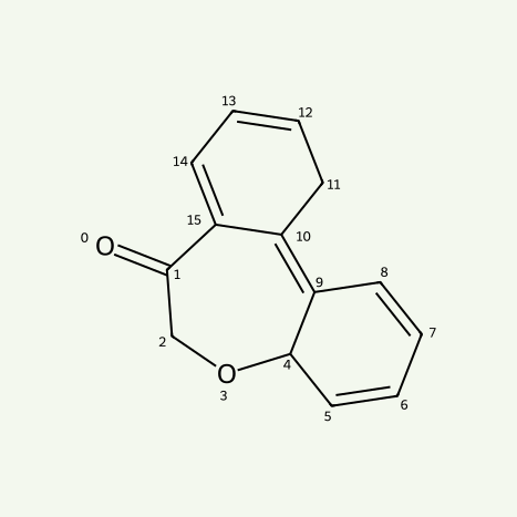 O=C1COC2C=CC=CC2=C2CC=CC=C12